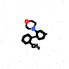 Cc1ccccc1-c1cc[c]cc1N1CCOCC1